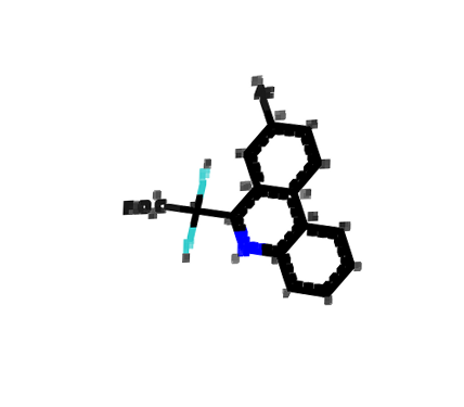 CCOC(=O)C(F)(F)c1nc2ccccc2c2ccc(C(C)=O)cc12